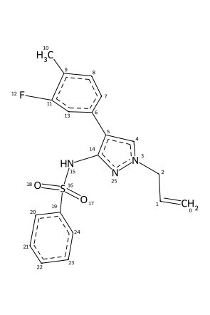 C=CCn1cc(-c2ccc(C)c(F)c2)c(NS(=O)(=O)c2ccccc2)n1